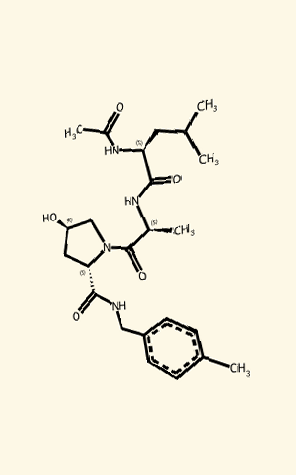 CC(=O)N[C@@H](CC(C)C)C(=O)N[C@@H](C)C(=O)N1C[C@H](O)C[C@H]1C(=O)NCc1ccc(C)cc1